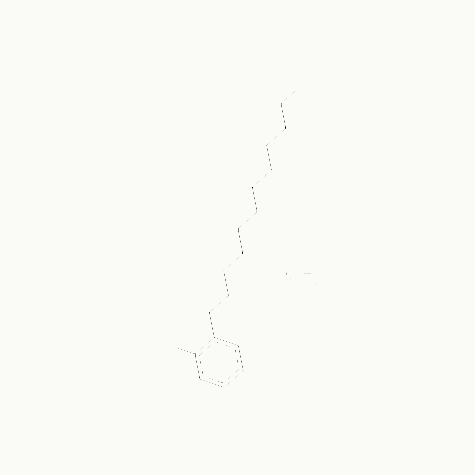 CCCCCCCCCCCCc1ccccc1O.[CaH2]